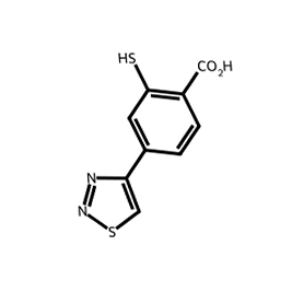 O=C(O)c1ccc(-c2csnn2)cc1S